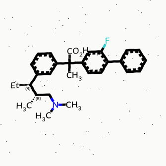 CC[C@@H](c1cccc(C(C)(C(=O)O)c2ccc(-c3ccccc3)c(F)c2)c1)[C@@H](C)CN(C)C